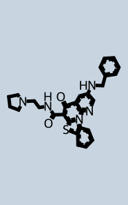 O=C(NCCN1CCCC1)c1c(=O)c2cc(NCc3ccccc3)cnc2n2c1sc1ccccc12